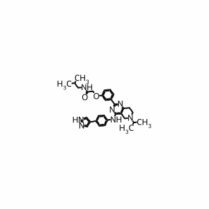 CC(C)CNC(=O)COc1cccc(-c2nc3c(c(Nc4ccc(-c5cn[nH]c5)cc4)n2)CN(C(C)C)CC3)c1